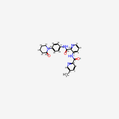 Cc1ccc(C(=O)Nc2cccnc2C(=O)Nc2ccc(N3CCCCC3=O)cc2)nc1